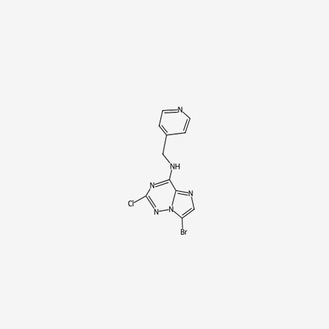 Clc1nc(NCc2ccncc2)c2ncc(Br)n2n1